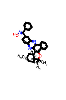 C[C@H]1CC[C@H]2[C@H](C1)c1c(c3ccccc3c3nc4cc(/C(=N\O)c5ccccc5)ccc4nc13)OC2(C)C